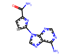 NC(=O)c1c[se]c(-n2cnc3c(N)ncnc32)n1